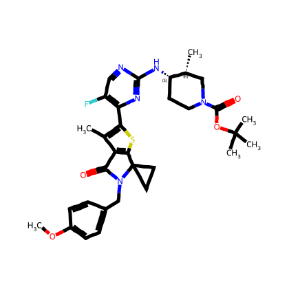 COc1ccc(CN2C(=O)c3c(sc(-c4nc(N[C@H]5CCN(C(=O)OC(C)(C)C)C[C@H]5C)ncc4F)c3C)C23CC3)cc1